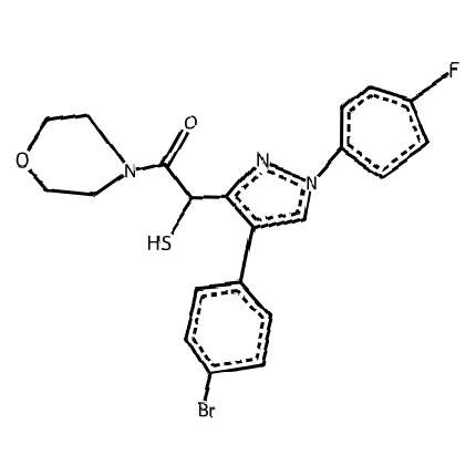 O=C(C(S)c1nn(-c2ccc(F)cc2)cc1-c1ccc(Br)cc1)N1CCOCC1